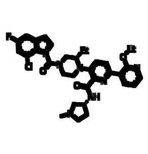 CCOc1ncccc1-c1ccc(N2CCN(C(=O)n3ccc4cc(F)cc(Cl)c43)C[C@H]2CC)c(C(=O)N[C@@H]2CCN(C)C2)n1